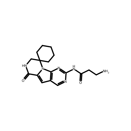 NCCC(=O)Nc1ncc2cc3n(c2n1)C1(CCCCC1)CNC3=O